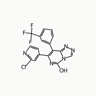 Oc1nc(-c2ccnc(Cl)c2)c(-c2cccc(C(F)(F)F)c2)c2nncn12